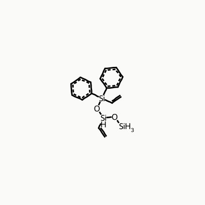 C=C[SiH](O[SiH3])O[Si](C=C)(c1ccccc1)c1ccccc1